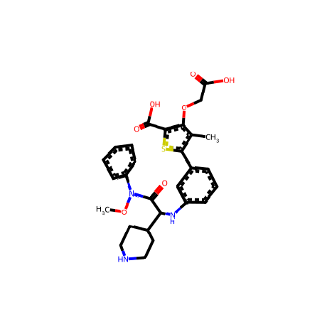 CON(C(=O)C(Nc1cccc(-c2sc(C(=O)O)c(OCC(=O)O)c2C)c1)C1CCNCC1)c1ccccc1